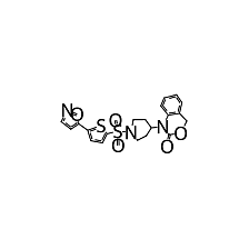 O=C1OCc2ccccc2N1C1CCN(S(=O)(=O)c2ccc(-c3ccno3)s2)CC1